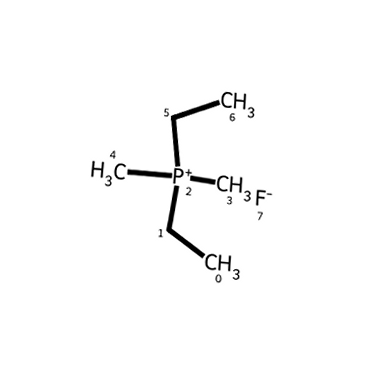 CC[P+](C)(C)CC.[F-]